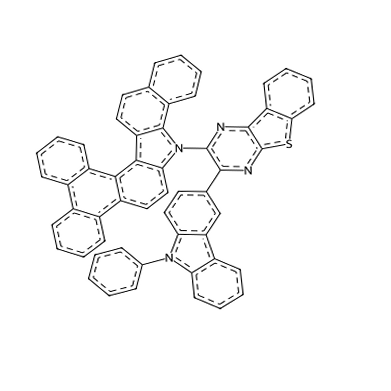 c1ccc(-n2c3ccccc3c3cc(-c4nc5sc6ccccc6c5nc4-n4c5ccc6c7ccccc7c7ccccc7c6c5c5ccc6ccccc6c54)ccc32)cc1